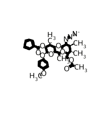 CCC1O[C@@H](Oc2ccc(OC)cc2)C(OC(=O)c2ccccc2)[C@@H](C)[C@@H]1OC1OC(COC(C)=O)[C@@H](C)[C@H](C)C1N=[N+]=[N-]